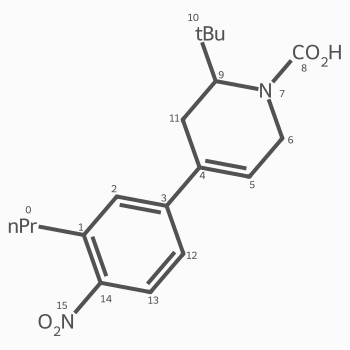 CCCc1cc(C2=CCN(C(=O)O)C(C(C)(C)C)C2)ccc1[N+](=O)[O-]